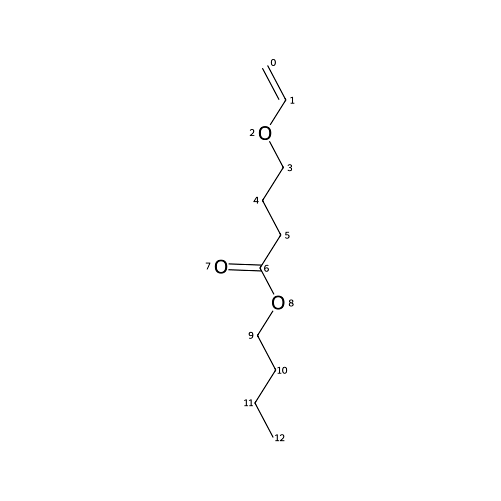 C=COCCCC(=O)OCCCC